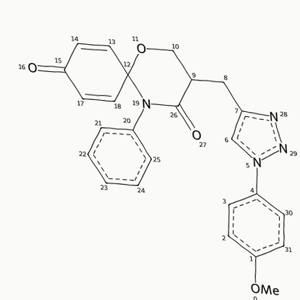 COc1ccc(-n2cc(CC3COC4(C=CC(=O)C=C4)N(c4ccccc4)C3=O)nn2)cc1